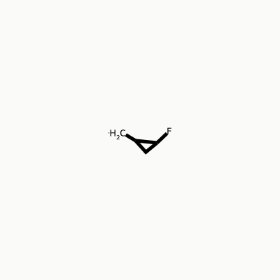 [CH2]C1CC1F